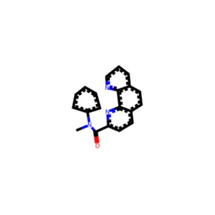 CN(C(=O)c1ccc2ccc3cccnc3c2n1)c1ccccc1